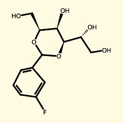 OC[C@@H](O)[C@H]1OC(c2cccc(F)c2)O[C@@H](CO)[C@H]1O